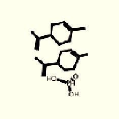 C=C(C)C1CC=C(C)CC1.C=C(C)C1CC=C(C)CC1.O=[PH](O)O